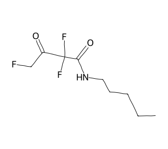 CCCCCNC(=O)C(F)(F)C(=O)CF